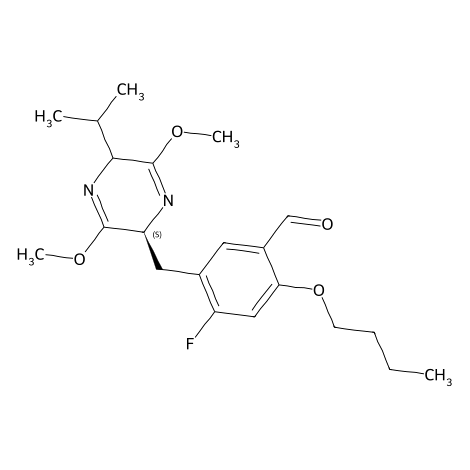 CCCCOc1cc(F)c(C[C@@H]2N=C(OC)C(C(C)C)N=C2OC)cc1C=O